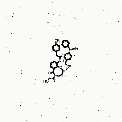 CCCN(c1ccccc1)c1ccc(CN(C)C[C@H]2Oc3c(NC(=O)Cc4ccc(C(F)(F)F)cc4)cccc3C(=O)N([C@@H](C)CO)C[C@H]2C)cc1